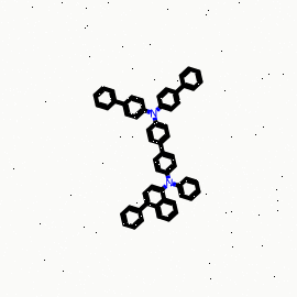 c1ccc(-c2ccc(N(c3ccc(-c4ccccc4)cc3)c3ccc(-c4ccc(N(c5ccccc5)c5ccc(-c6ccccc6)c6ccccc56)cc4)cc3)cc2)cc1